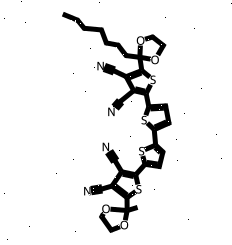 CCCCCCCC1(c2sc(-c3ccc(-c4ccc(-c5sc(C6(C)OCCO6)c(C#N)c5C#N)s4)s3)c(C#N)c2C#N)OCCO1